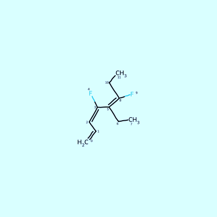 C=C/C=C(F)\C(CC)=C(\F)CC